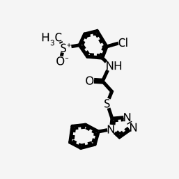 C[S+]([O-])c1ccc(Cl)c(NC(=O)CSc2nncn2-c2ccccc2)c1